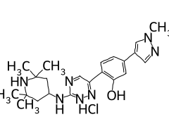 Cl.Cn1cc(-c2ccc(-c3cnc(NC4CC(C)(C)NC(C)(C)C4)nn3)c(O)c2)cn1